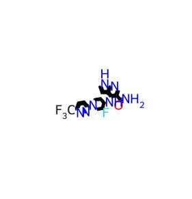 NC(=O)c1cnc2[nH]ccc2c1N[C@H]1CCN(c2ccc(C(F)(F)F)nn2)C[C@H]1F